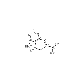 O=[N+]([O-])C1=Cc2cccc3c2C(CN3)C1